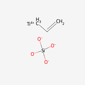 C=CC.[O-][Si]([O-])([O-])[O-].[Ti+4]